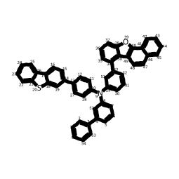 c1ccc(-c2cccc(N(c3ccc(-c4ccc5c(c4)sc4ccccc45)cc3)c3cccc(-c4cccc5oc6c7ccccc7ccc6c45)c3)c2)cc1